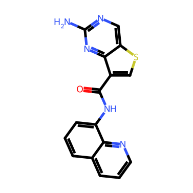 Nc1ncc2scc(C(=O)Nc3cccc4cccnc34)c2n1